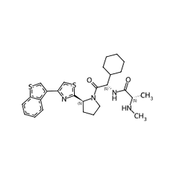 CN[C@@H](C)C(=O)N[C@H](C(=O)N1CCC[C@H]1c1nc(-c2csc3ccccc23)cs1)C1CCCCC1